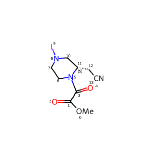 COC(=O)C(=O)N1CCN(I)C[C@@H]1CC#N